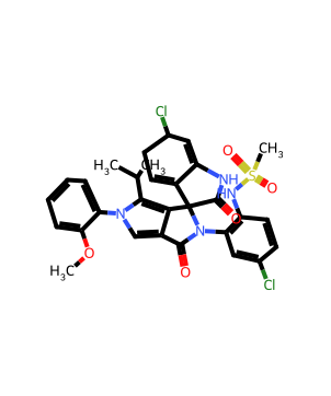 COc1ccccc1-n1cc2c(c1C(C)C)C1(C(=O)NC3=CC(Cl)CC=C31)N(c1cc(Cl)ccc1NS(C)(=O)=O)C2=O